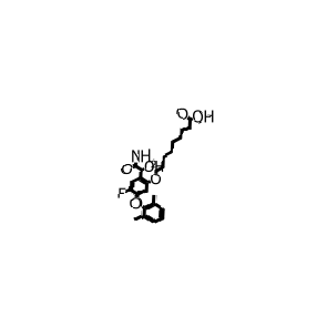 Cc1cccc(C)c1Oc1cc(OCCCCCCCCC(=O)O)c(C(O)C(N)=O)cc1F